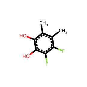 Cc1c(C)c(F)c(F)c(O)c1O